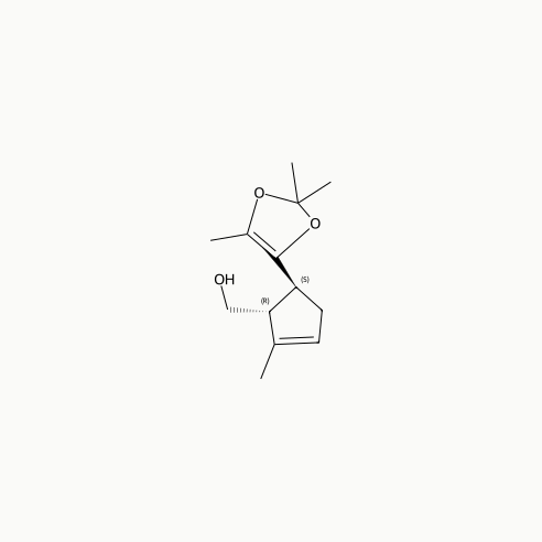 CC1=CC[C@H](C2=C(C)OC(C)(C)O2)[C@H]1CO